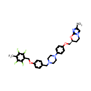 O=[N+]([O-])c1cn2c(n1)O[C@H](COc1ccc(N3CCN(Cc4ccc(OCc5c(F)c(F)c(C(F)(F)F)c(F)c5F)cc4)CC3)cc1)CC2